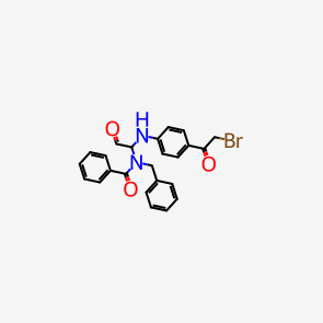 O=CC(Nc1ccc(C(=O)CBr)cc1)N(Cc1ccccc1)C(=O)c1ccccc1